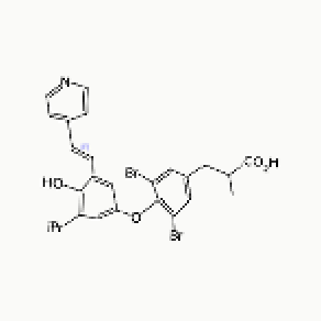 CC(Cc1cc(Br)c(Oc2cc(/C=C/c3ccncc3)c(O)c(C(C)C)c2)c(Br)c1)C(=O)O